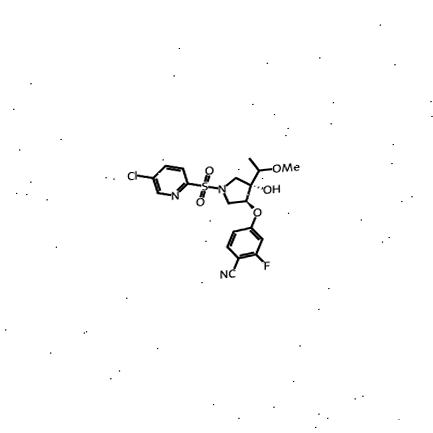 COC(C)[C@]1(O)CN(S(=O)(=O)c2ccc(Cl)cn2)C[C@@H]1Oc1ccc(C#N)c(F)c1